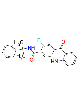 CC(C)(NC(=O)C1=CC2Nc3ccccc3C(=O)C2C=C1F)c1ccccc1